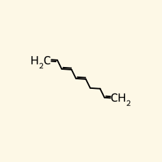 C=CC=CC=CCCC=C